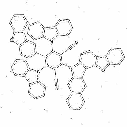 N#Cc1c(-n2c3ccccc3c3ccccc32)c(-c2ccc3oc4ccccc4c3c2)c(-n2c3ccccc3c3ccccc32)c(C#N)c1-n1c2cc3ccccc3cc2c2c3oc4ccccc4c3ccc21